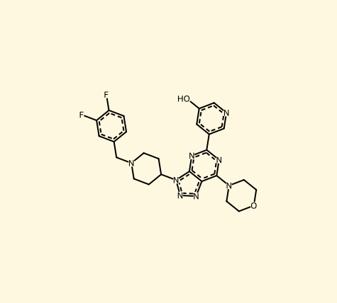 Oc1cncc(-c2nc(N3CCOCC3)c3nnn(C4CCN(Cc5ccc(F)c(F)c5)CC4)c3n2)c1